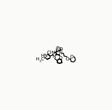 CC1C=CC(c2nc3c(c(=O)n(CCCOC4CCCCO4)c(=O)n3C(C)C)n2Cc2ccccc2)=C(Cl)N1